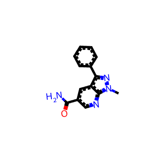 Cn1nc(-c2ccccc2)c2cc(C(N)=O)cnc21